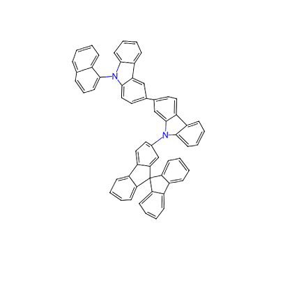 c1ccc2c(c1)-c1ccccc1C21c2ccccc2-c2ccc(-n3c4ccccc4c4ccc(-c5ccc6c(c5)c5ccccc5n6-c5cccc6ccccc56)cc43)cc21